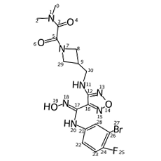 CN(C)C(=O)C(=O)N1CC(CNc2nonc2/C(=N/O)Nc2ccc(F)c(Br)c2)C1